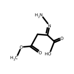 COC(=O)C/C(=N\N)C(=O)O